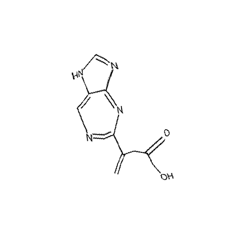 C=C(C(=O)O)c1ncc2[nH]cnc2n1